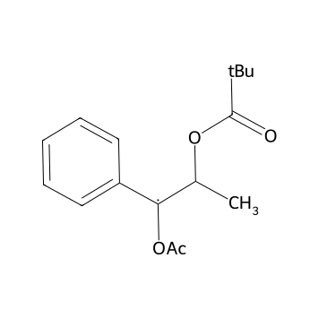 CC(=O)O[C](c1ccccc1)C(C)OC(=O)C(C)(C)C